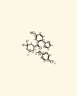 C[C@@H]1CC(F)(F)CN(C(=O)c2cc(C#N)ccc2-n2nccn2)[C@@H]1CNc1ncc(C(F)(F)F)cn1